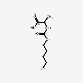 CC(NC(=O)OCCCCCl)C([NH])=O